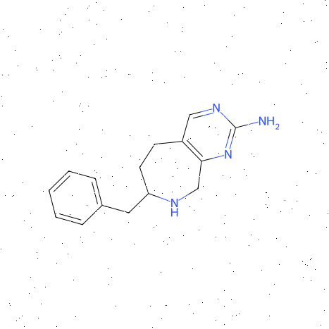 Nc1ncc2c(n1)CNC(Cc1ccccc1)CC2